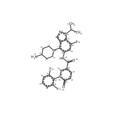 CC(C)n1ncc2c(N3CCC(N)CC3)c(NC(=O)c3ccc(=O)n(-c4c(F)cccc4F)n3)cc(F)c21